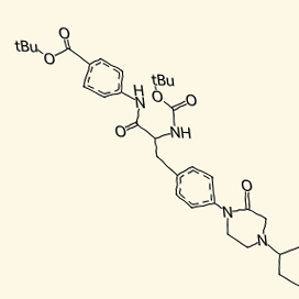 CC(C)(C)OC(=O)NC(Cc1ccc(N2CCN(C3CCOCC3)CC2=O)cc1)C(=O)Nc1ccc(C(=O)OC(C)(C)C)cc1